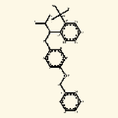 CC(C)[C](Cc1ccc(OCc2ccccc2)cc1)c1ccccc1C(C)(C)C